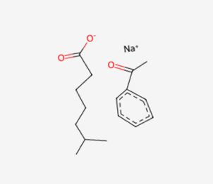 CC(=O)c1ccccc1.CC(C)CCCCC(=O)[O-].[Na+]